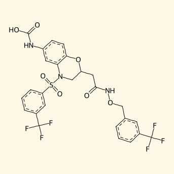 O=C(O)Nc1ccc2c(c1)N(S(=O)(=O)c1cccc(C(F)(F)F)c1)CC(CC(=O)NOCc1cccc(C(F)(F)F)c1)O2